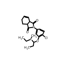 CCC(Oc1cc(N2C(=O)C3C=CCCC3C2=O)ccc1Cl)P(C)CC